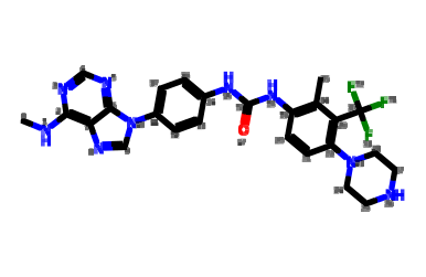 CNc1ncnc2c1ncn2-c1ccc(NC(=O)Nc2ccc(N3CCNCC3)c(C(F)(F)F)c2C)cc1